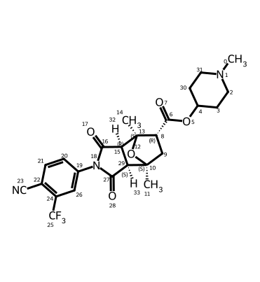 CN1CCC(OC(=O)[C@@H]2C[C@]3(C)O[C@@]2(C)[C@@H]2C(=O)N(c4ccc(C#N)c(C(F)(F)F)c4)C(=O)[C@@H]23)CC1